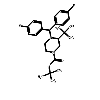 CC(C)(C)OC(=O)N1CCN(C(c2ccc(F)cc2)c2ccc(F)cc2)C(C(C)(C)O)C1